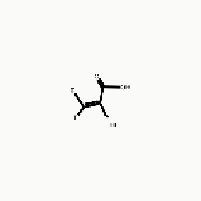 F.O=C(O)C(F)=C(F)F